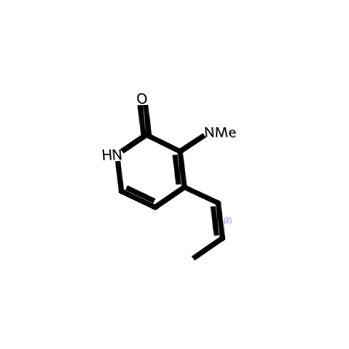 C/C=C\c1cc[nH]c(=O)c1NC